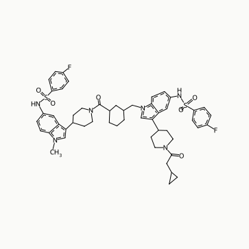 Cn1cc(C2CCN(C(=O)C3CCCC(Cn4cc(C5CCN(C(=O)CC6CC6)CC5)c5cc(NS(=O)(=O)c6ccc(F)cc6)ccc54)C3)CC2)c2cc(NS(=O)(=O)c3ccc(F)cc3)ccc21